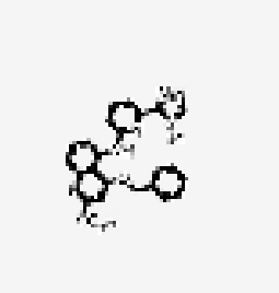 CC(C)n1cnnc1-c1cccc(Nc2cccc3nc(C(=O)O)cc(OCc4ccccc4)c23)n1